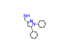 N=Cc1cc(-c2ccccc2)n(-c2ccccc2)n1